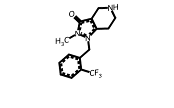 Cn1c(=O)c2c(n1Cc1ccccc1C(F)(F)F)CCNC2